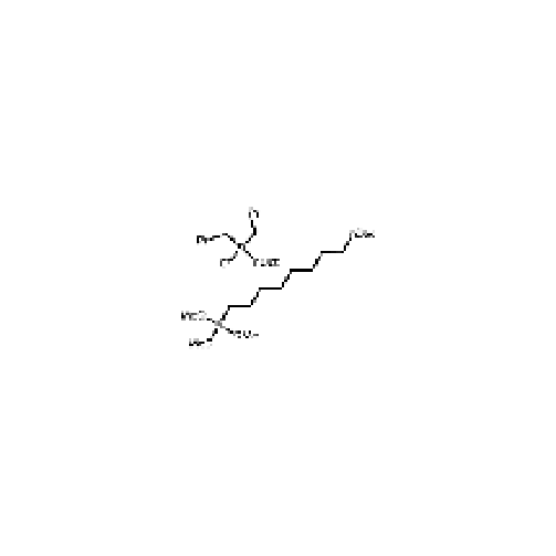 CCCCCCCCCCCCCCCCCC[Si](OC)(OC)OC.CCCCCCCC[Si](Cl)(CC(C)C)CC(C)C